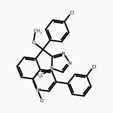 COC(C1=CC=CC23CCCC[N+]2([O-])C=C(c2cccc(Cl)c2)C=C13)(c1ccc(Cl)cc1)c1nncn1C